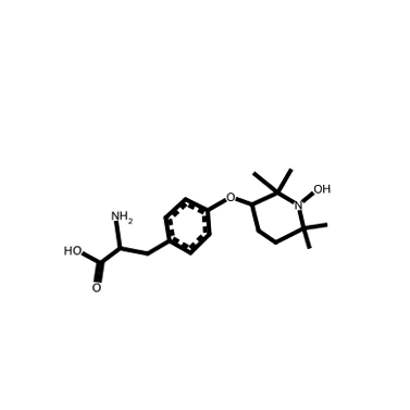 CC1(C)CCC(Oc2ccc(CC(N)C(=O)O)cc2)C(C)(C)N1O